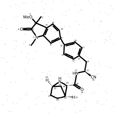 COC1(C)C(=O)N(C)c2cc(-c3ccc(C[C@@H](C#N)NC(=O)[C@H]4N[C@@H]5CC[C@H]4C5)cc3)ccc21